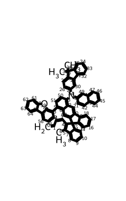 C=C/C=C\C1=C(C)c2ccccc2C12c1ccccc1-c1cc3c(N(c4ccc5c(c4)-c4ccccc4C5(C)C)c4ccc5ccccc5c4)ccc(-c4cccc5c4oc4ccccc45)c3cc12